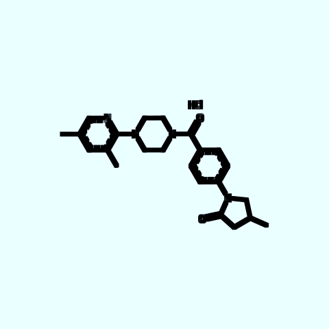 Cc1cnc(N2CCN(C(=O)c3ccc(N4CC(C)CC4=O)cc3)CC2)c(C)c1.Cl